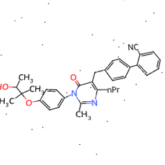 CCCc1nc(C)n(-c2ccc(OC(C)(C)C(C)O)cc2)c(=O)c1Cc1ccc(-c2ccccc2C#N)cc1